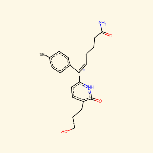 CC(C)(C)c1ccc(/C(=C\CCCC(N)=O)c2ccc(CCCO)c(=O)[nH]2)cc1